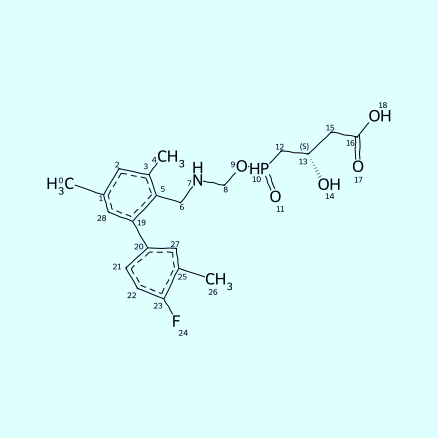 Cc1cc(C)c(CNCO[PH](=O)C[C@@H](O)CC(=O)O)c(-c2ccc(F)c(C)c2)c1